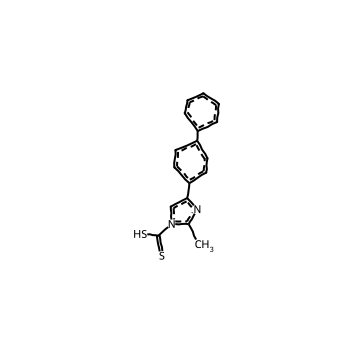 Cc1nc(-c2ccc(-c3ccccc3)cc2)cn1C(=S)S